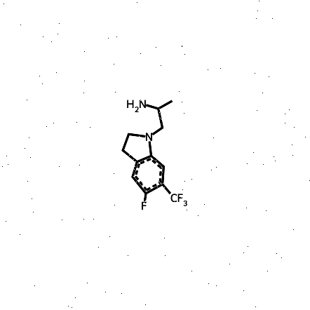 CC(N)CN1CCc2cc(F)c(C(F)(F)F)cc21